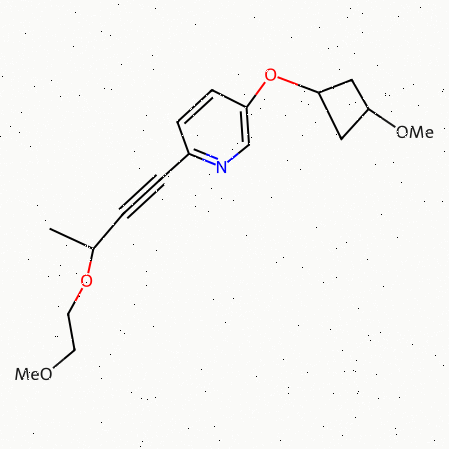 COCCOC(C)C#Cc1ccc(OC2CC(OC)C2)cn1